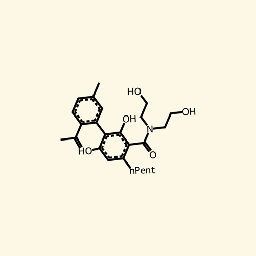 C=C(C)c1ccc(C)cc1-c1c(O)cc(CCCCC)c(C(=O)N(CCO)CCO)c1O